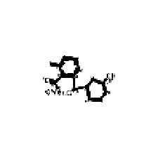 COC(=O)c1c(C)cccc1C(=O)[C@@H]1CCC[C@H](O)C1